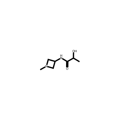 CC(O)C(=O)NC1CN(C)C1